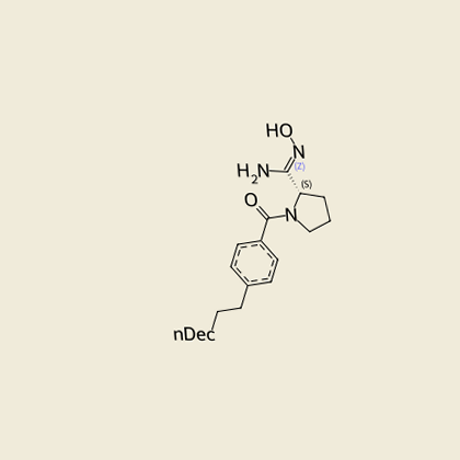 CCCCCCCCCCCCc1ccc(C(=O)N2CCC[C@H]2/C(N)=N/O)cc1